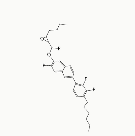 CCCCCCc1ccc(-c2ccc3cc(OC(F)C4OC4CCCC)c(F)cc3c2)c(F)c1F